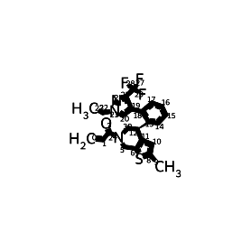 C=CC(=O)N1Cc2sc(C)cc2[C@H](c2ccccc2-c2cn(CC)nc2C(F)(F)F)C1